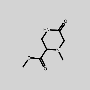 COC(=O)C1CNC(=O)CN1C